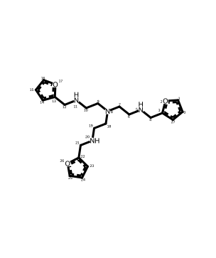 c1coc(CNCCN(CCNCc2ccco2)CCNCc2ccco2)c1